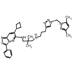 Cc1cc(C)n(Cn2cc(CCCNCC(C)(C)CNc3nn4c(-c5ccccc5)nnc4cc3C3CCC3)nn2)n1